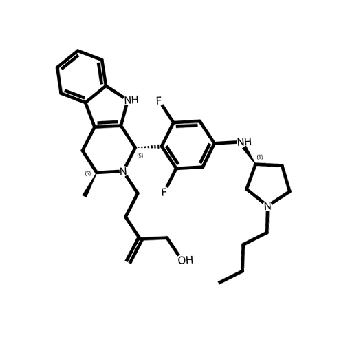 C=C(CO)CCN1[C@@H](c2c(F)cc(N[C@H]3CCN(CCCC)C3)cc2F)c2[nH]c3ccccc3c2C[C@@H]1C